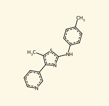 Cc1ccc(Nc2nc(-c3cccnc3)c(C)s2)cc1